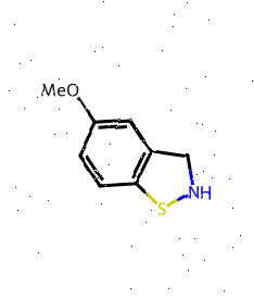 COc1ccc2c(c1)CNS2